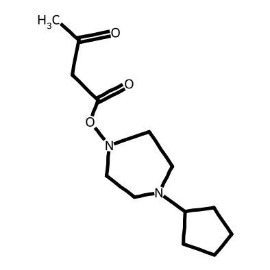 CC(=O)CC(=O)ON1CCN(C2CCCC2)CC1